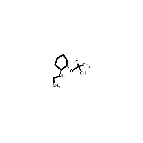 CCN[C@H]1CCCC[C@@H]1OC(C)(C)C